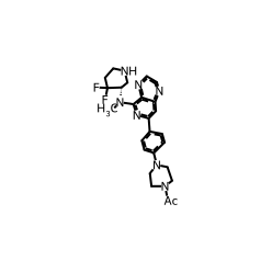 CC(=O)N1CCN(c2ccc(-c3cc4nccnc4c(N(C)[C@H]4CNCCC4(F)F)n3)cc2)CC1